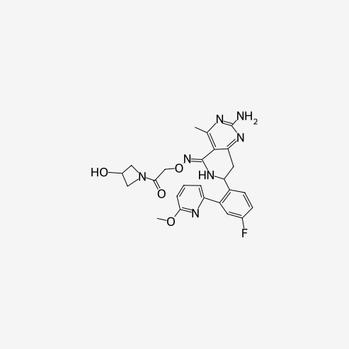 COc1cccc(-c2cc(F)ccc2C2Cc3nc(N)nc(C)c3/C(=N/OCC(=O)N3CC(O)C3)N2)n1